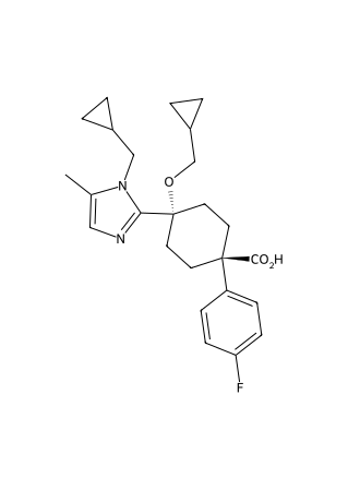 Cc1cnc([C@]2(OCC3CC3)CC[C@@](C(=O)O)(c3ccc(F)cc3)CC2)n1CC1CC1